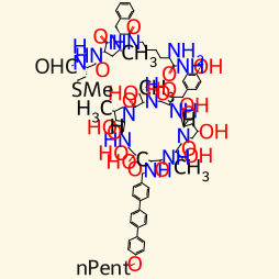 CCCCCOc1ccc(-c2ccc(-c3ccc(C(=O)N[C@H]4C[C@@H](O)[C@@H](O)NC(=O)[C@@H]5[C@@H](O)[C@@H](C)CN5C(=O)[C@H]([C@@H](C)O)NC(=O)[C@H]([C@H](O)[C@@H](O)c5ccc(O)c(NC(=O)[C@@H](N)CCCCNC(=O)[C@H](Cc6ccccc6)N6C(=O)[C@@H](NC(=O)[C@H](CCSC)NC=O)CC6C)c5)NC(=O)[C@@H]5C[C@@H](O)CN5C(=O)[C@H]([C@@H](C)O)NC4=O)cc3)cc2)cc1